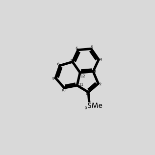 CSC1=Cc2cccc3cccc1c23